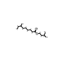 [CH2]CC(C)CCCCCC(=O)OCCC(C)C